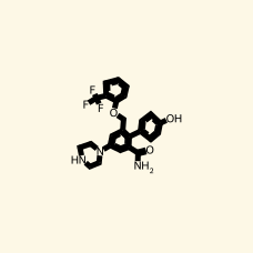 NC(=O)c1[c]c(N2CCNCC2)cc(COc2ccccc2C(F)(F)F)c1-c1ccc(O)cc1